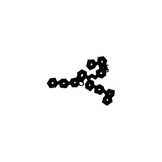 c1ccc(-c2ccc(-c3ccc4sc5c(C(CCc6ccc7sc8cccc(-c9ccccc9)c8c7c6)c6cccc(-c7ccc(-c8cccc9ccccc89)cc7)c6)cccc5c4c3)cc2)cc1